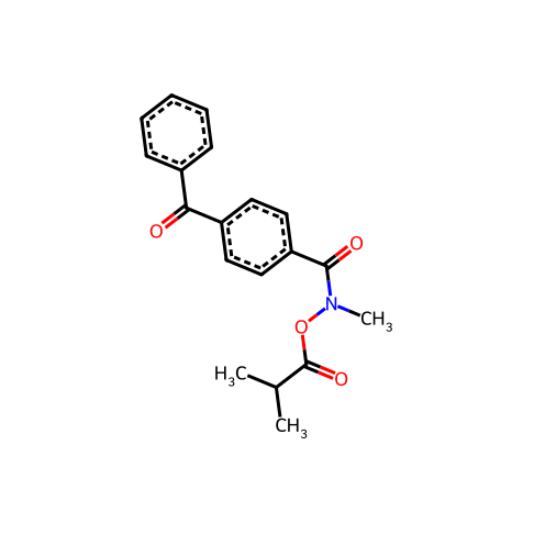 CC(C)C(=O)ON(C)C(=O)c1ccc(C(=O)c2ccccc2)cc1